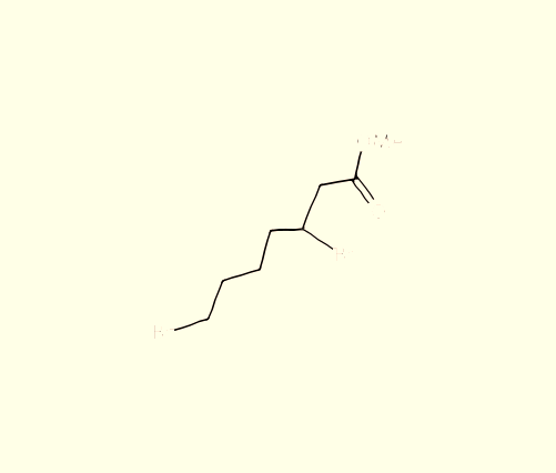 COC(=O)CC(Br)CCCCBr